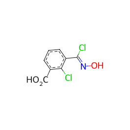 O=C(O)c1cccc(C(Cl)=NO)c1Cl